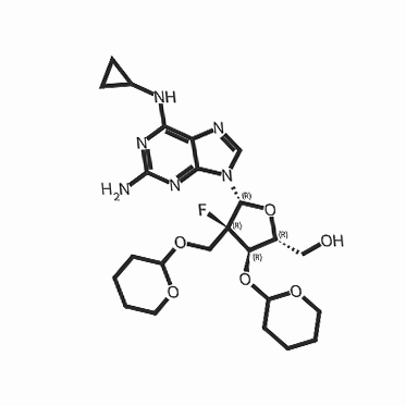 Nc1nc(NC2CC2)c2ncn([C@@H]3O[C@H](CO)[C@@H](OC4CCCCO4)[C@]3(F)COC3CCCCO3)c2n1